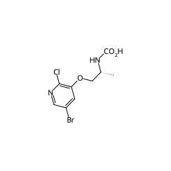 C[C@H](COc1cc(Br)cnc1Cl)NC(=O)O